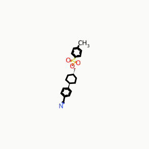 Cc1ccc(S(=O)(=O)OC[C@H]2CC[C@H](c3ccc(C#N)cc3)CC2)cc1